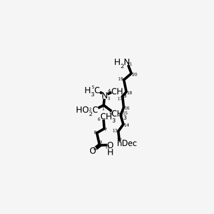 CC(C(=O)O)N(C)C.CCCC(=O)O.CCCCCCCCCCCCCCCCCCN